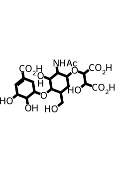 CC(=O)NC1C(OC(C(=O)O)C(O)C(=O)O)CC(CO)C(OC2CC(C(=O)O)=CC(O)C2O)C1O